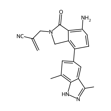 C=C(C#N)CN1Cc2c(-c3cc(C)c4[nH]nc(C)c4c3)ccc(N)c2C1=O